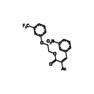 CC(=O)C(=Cc1cccc([N+](=O)[O-])c1)C(=O)OCCOc1cccc(C(F)(F)F)c1